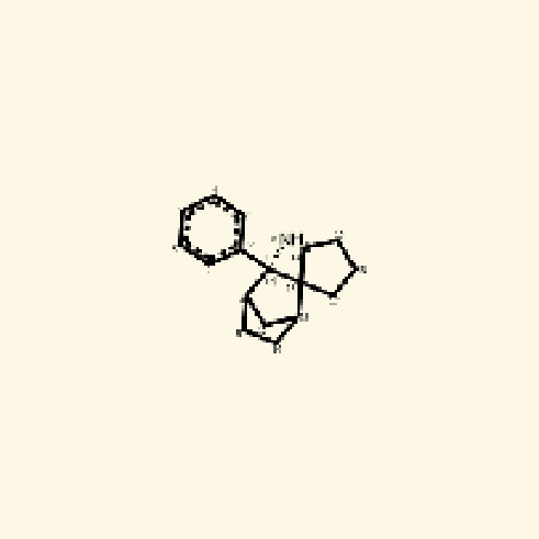 N[C@@]1(c2ccccc2)C2CCC(C2)C12CCCC2